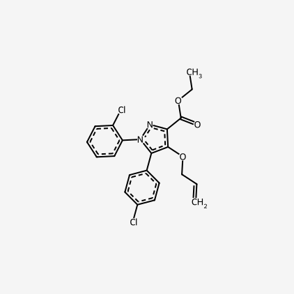 C=CCOc1c(C(=O)OCC)nn(-c2ccccc2Cl)c1-c1ccc(Cl)cc1